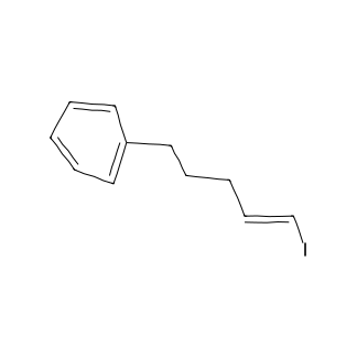 IC=CCCCc1ccccc1